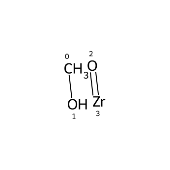 CO.[O]=[Zr]